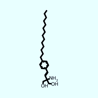 CCCCCCCCCCCCCCc1ccc(/C=C/C(N)(CO)CO)cc1